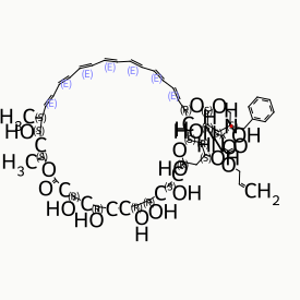 C=CCOC(=O)N[C@@H]1[C@H](O)[C@H](O[C@H]2/C=C/C=C/C=C/C=C/C=C/C=C/C=C/[C@H](C)[C@@H](O)C[C@H](C)OC(=O)C[C@H](O)C[C@H](O)CC[C@@H](O)[C@H](O)C[C@H](O)C[C@]3(O)C[C@H](O)[C@@H](NC(=O)NCc4ccccc4)[C@H](C2)O3)OC[C@H]1O